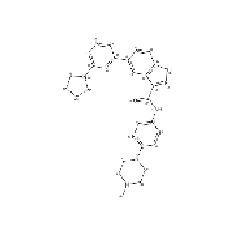 CN1CCN(c2ccc(NC(=O)c3n[nH]c4ccc(-c5cncc(N6CCCC6)c5)cc34)cn2)CC1